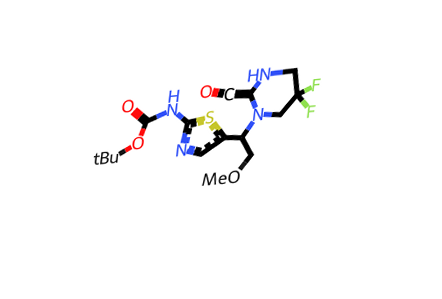 COCC(c1cnc(NC(=O)OC(C)(C)C)s1)N1CC(F)(F)CNC1=C=O